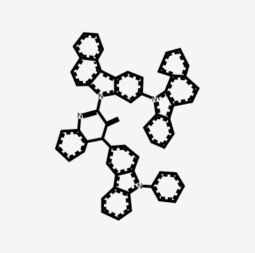 C=C1C(n2c3cc(-n4c5ccccc5c5ccc6ccccc6c54)ccc3c3c4ccccc4ccc32)=Nc2ccccc2C1c1ccc2c(c1)c1ccccc1n2-c1ccccc1